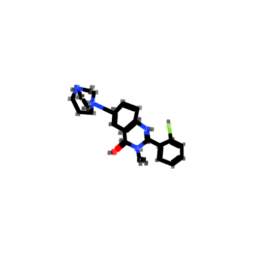 Cn1c(-c2ccccc2F)nc2ccc(N3CCN4CCC3CC4)cc2c1=O